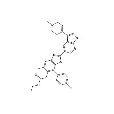 CCOC(=O)Cc1c(C)cc2nc(-c3cnc4c(c3)c(C3=CCN(C)CC3)cn4C)sc2c1-c1ccc(Cl)cc1